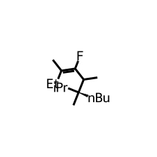 CCCC[C@@](C)(C(C)C)C(C)/C(F)=C(/C)CC